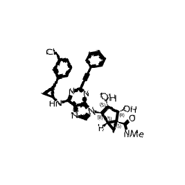 CNC(=O)[C@@]12C[C@@H]1[C@@H](n1cnc3c(NC4CC4c4cccc(Cl)c4)nc(C#Cc4ccccc4)nc31)[C@H](O)[C@@H]2O